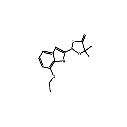 C=C1OB(c2cc3cccc(OCC)c3[nH]2)OC1(C)C